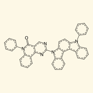 O=c1c2cnc(-n3c4ccccc4c4c5c6ccccc6n(-c6ccccc6)c5ccc43)nc2c2ccccc2n1-c1ccccc1